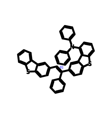 C(=C(/c1ccccc1)c1ccc2sc3cccc(N(c4ccccc4)c4ccccc4)c3c2c1)/c1ccc2sc3ccccc3c2c1